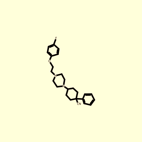 N#CC1(c2ccccc2)CCC(N2CCN(CCOc3ccc(F)cc3)CC2)CC1